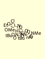 CCC[C@H](NC(=O)[C@@H]1C[C@]2(CC(c3cc(Cl)c(OCC)cc3OC)=NO2)CN1C(=O)[C@@H](NC(=O)OC(C)(C)C)C(C)(C)C)C(=O)C(=O)NC